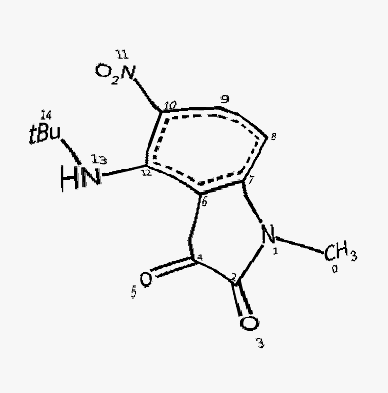 CN1C(=O)C(=O)c2c1ccc([N+](=O)[O-])c2NC(C)(C)C